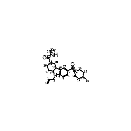 C=CCN1c2ccc(C(=O)N3CCC(C)CC3)cc2C2CN(C(=O)NC(C)C)CCC21